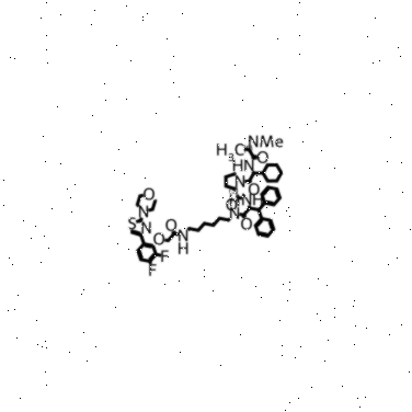 CN[C@@H](C)C(=O)NC(C(=O)N1CCC[C@H]1C(=O)NC(C(=O)NCCCCCCNC(=O)COc1c(-c2csc(N3CCOCC3)n2)ccc(F)c1F)C(c1ccccc1)c1ccccc1)C1CCCCC1